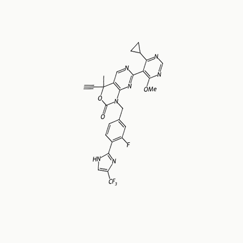 C#CC1(C)OC(=O)N(Cc2ccc(-c3nc(C(F)(F)F)c[nH]3)c(F)c2)c2nc(-c3c(OC)ncnc3C3CC3)ncc21